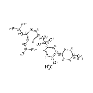 COc1ccc(S(=O)(=O)Nc2ccc(OC(F)F)c(OC(F)F)c2)cc1N1CCN(C)CC1